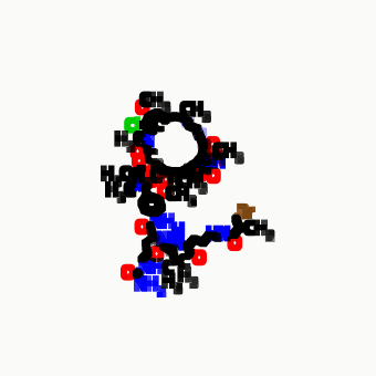 C=C(CBr)C(=O)NCCCCC(C=O)N[C@H](C(=O)N[C@@H](CCCNC(N)=O)C(=O)Nc1ccc(C(=O)N(C)[C@@H](C)C(=O)O[C@H]2CC(=O)N(C)c3cc(cc(OC)c3Cl)C/C(C)=C/C=C/[C@@H](OC)[C@@]3(O)C[C@H](OC(=O)N3)[C@@H](C)[C@@H]3O[C@@]23C)c(OC)c1)C(C)C